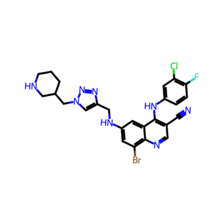 N#Cc1cnc2c(Br)cc(NCc3cn(CC4CCCNC4)nn3)cc2c1Nc1ccc(F)c(Cl)c1